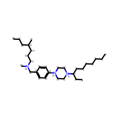 CCCCCCCC(CC)N1CCN(c2ccc(CN(C)CCCC(C)CCC)cc2)CC1